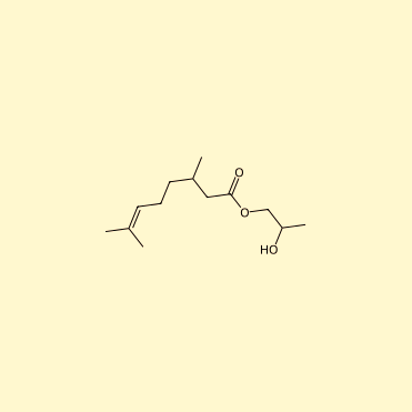 CC(C)=CCCC(C)CC(=O)OCC(C)O